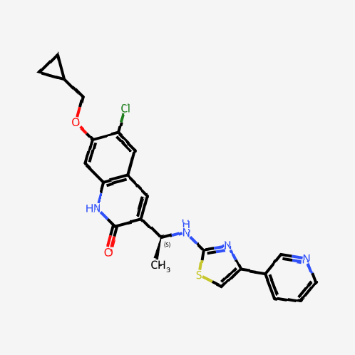 C[C@H](Nc1nc(-c2cccnc2)cs1)c1cc2cc(Cl)c(OCC3CC3)cc2[nH]c1=O